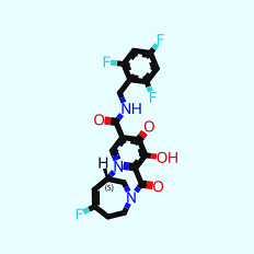 O=C(NCc1c(F)cc(F)cc1F)c1cn2c(c(O)c1=O)C(=O)N1CCC(F)=C[C@H]2C1